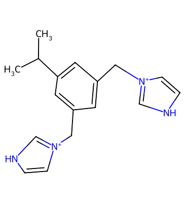 CC(C)c1cc(C[n+]2cc[nH]c2)cc(C[n+]2cc[nH]c2)c1